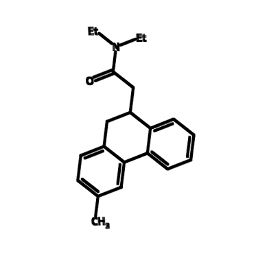 CCN(CC)C(=O)CC1Cc2ccc(C)cc2-c2ccccc21